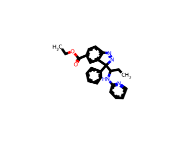 CCOC(=O)c1ccc2c(c1)C(c1ccccc1)(C(CC)Nc1ccccn1)N=N2